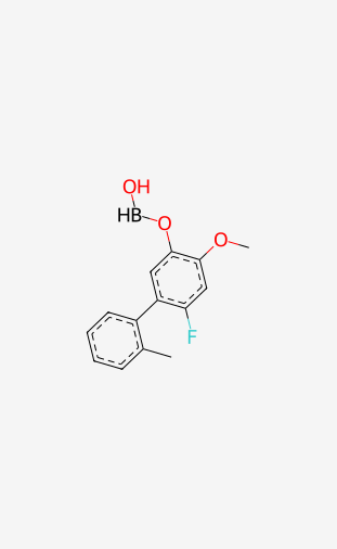 COc1cc(F)c(-c2ccccc2C)cc1OBO